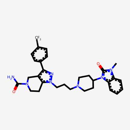 Cn1c(=O)n(C2CCN(CCCn3nc(-c4ccc(C(F)(F)F)cc4)c4c3CCN(C(N)=O)C4)CC2)c2ccccc21